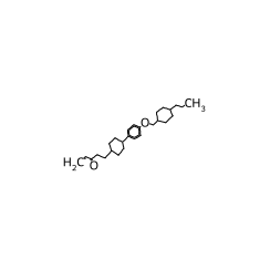 C=CC(=O)CCC1CCC(c2ccc(OCC3CCC(CCC)CC3)cc2)CC1